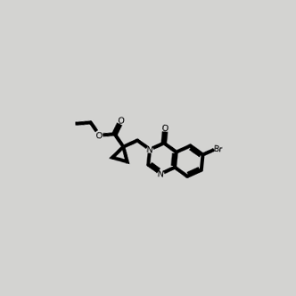 CCOC(=O)C1(Cn2cnc3ccc(Br)cc3c2=O)CC1